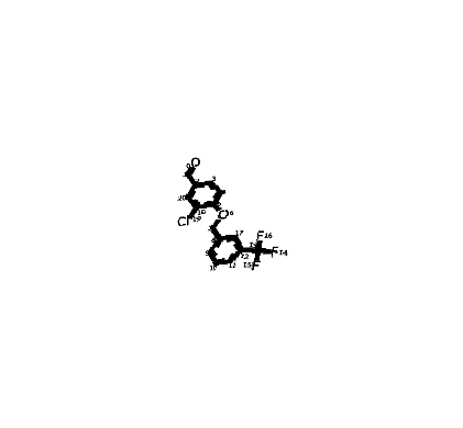 O=Cc1ccc(OCc2cccc(C(F)(F)F)c2)c(Cl)c1